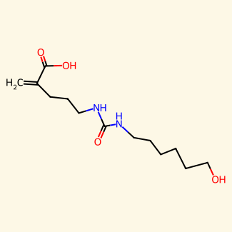 C=C(CCCNC(=O)NCCCCCCO)C(=O)O